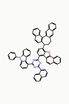 c1ccc(-n2c3ccccc3c3c(-c4nc(-c5cccc6ccccc56)nc(-c5ccc(C6CCc7cc8ccccc8cc7-c7c6ccc6ccccc76)c6oc7c8ccccc8ccc7c56)n4)cccc32)cc1